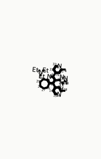 CCN(CC)CC.Cc1cc(-c2nc3c(c(-c4ccnc(C)c4)c2-c2nnn[nH]2)CCCCC3)ccn1